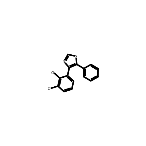 Clc1cccc(-c2n[c]sc2-c2ccccc2)c1Cl